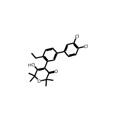 CCc1ccc(-c2ccc(Cl)c(Cl)c2)cc1C1=C(O)C(C)(C)OC(C)(C)C1=O